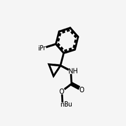 CCCCOC(=O)NC1(c2ccccc2C(C)C)CC1